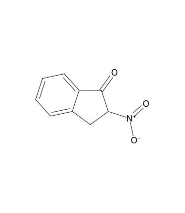 O=C1c2ccccc2CC1[N+](=O)[O-]